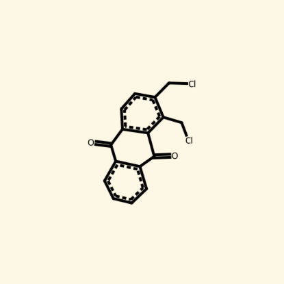 O=C1c2ccccc2C(=O)c2c1ccc(CCl)c2CCl